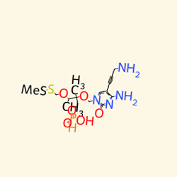 CSSCOC(C)C(C)(CO[PH](=O)O)OCn1cc(C#CCN)c(N)nc1=O